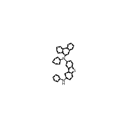 c1ccc(Nc2ccc3sc4ccc(N(c5ccccc5)c5cc6ccccc6c6ccccc56)cc4c3c2)cc1